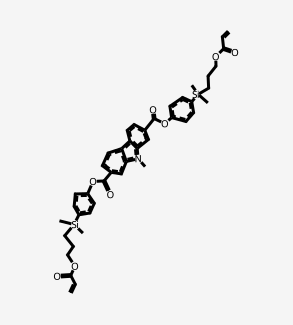 C=CC(=O)OCCC[Si](C)(C)c1ccc(OC(=O)c2ccc3c4ccc(C(=O)Oc5ccc([Si](C)(C)CCCOC(=O)C=C)cc5)cc4n(C)c3c2)cc1